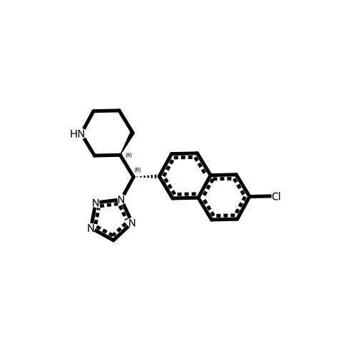 Clc1ccc2cc([C@@H]([C@@H]3CCCNC3)n3ncnn3)ccc2c1